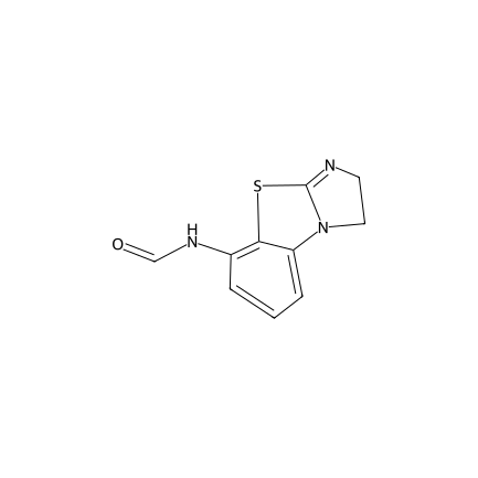 O=CNc1cccc2c1SC1=NCCN12